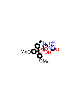 COc1ccc(C(OC[C@]2(CO)CN(C(C)C)C[C@H](n3ccc(=O)[nH]c3=O)O2)(c2ccccc2)c2ccc(OC)cc2)cc1